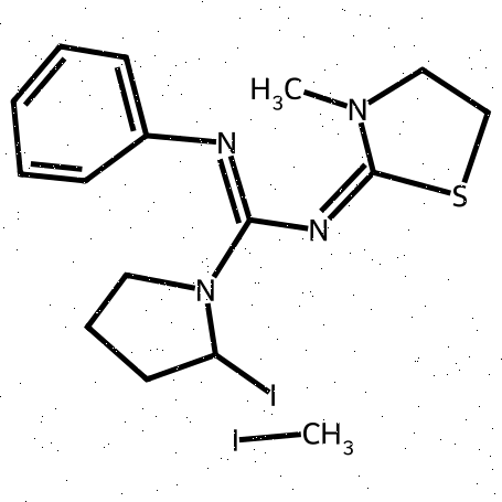 CI.CN1CCSC1=NC(=Nc1ccccc1)N1CCCC1I